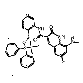 CNc1cc(F)cc2cc(C(=O)Nc3cnccc3CO[Si](c3ccccc3)(c3ccccc3)C(C)(C)C)c(=O)[nH]c12